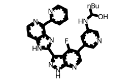 CCCCC(O)Nc1cncc(-c2cnc3[nH]nc(-c4nc5c(-c6ccccn6)nccc5[nH]4)c3c2F)c1